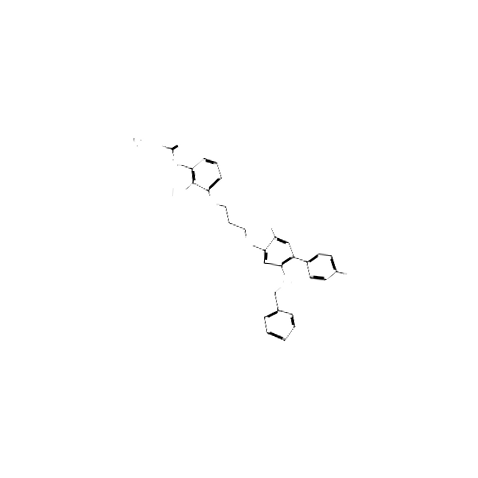 CCCc1c(NC(=O)OC)cccc1OCCCOc1cc(OCc2ccccc2)c(-c2ccc(F)cc2)cc1CC